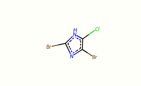 Clc1[nH]c(Br)nc1Br